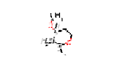 CO[SiH]1CCO[SiH2][SiH2]1